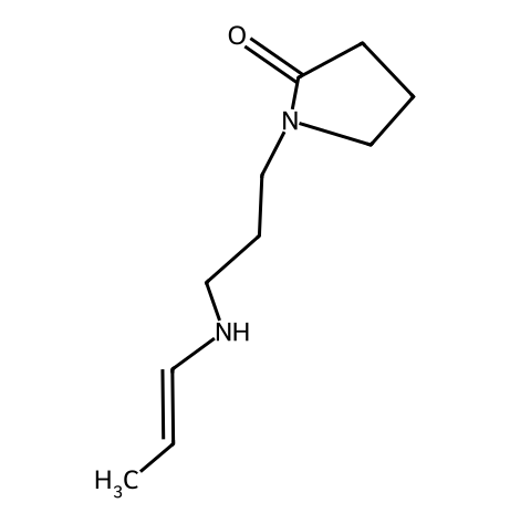 CC=CNCCCN1CCCC1=O